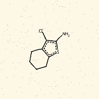 Nc1sc2c(c1Cl)CCCC2